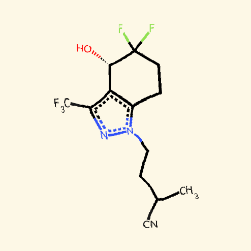 CC(C#N)CCn1nc(C(F)(F)F)c2c1CCC(F)(F)[C@H]2O